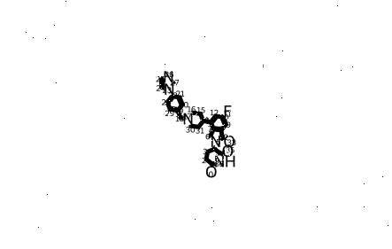 O=C1CCC(N2Cc3c(cc(F)cc3C3CCN(Cc4ccc(-n5ccnc5)cc4)CC3)C2=O)C(=O)N1